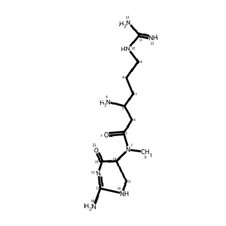 CN(C(=O)CC(N)CCCNC(=N)N)C1CNC(N)=NC1=O